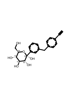 C#Cc1ccc(Cc2cccc([C@]3(O)O[C@H](CO)[C@@H](O)[C@H](O)[C@H]3O)c2)cc1